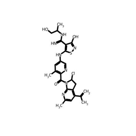 C=C(C)c1cc(C)nc2c1CC(Cl)N2C(=O)c1ncc(Nc2snc(O)c2C(=N)NC(C)CO)cc1C